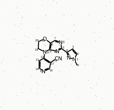 Cn1ccc(-c2ncc3c(n2)N(c2ccncc2C#N)CCO3)n1